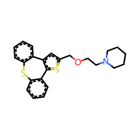 c1ccc2c(c1)Sc1ccccc1-c1sc(COCCN3CCCCC3)cc1-2